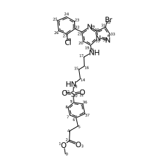 COC(=O)CCc1ccc(S(=O)(=O)NCCCCNc2cc(-c3ccccc3Cl)nc3c(Br)cnn23)cc1